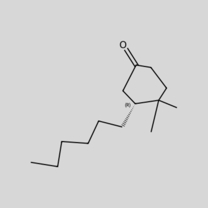 CCCCCC[C@@H]1CC(=O)CCC1(C)C